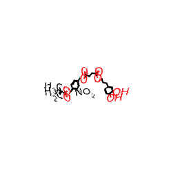 C=C(C)C(=O)OCc1ccc(COC(=O)CCC(=O)OCCCc2ccc(O)c(O)c2)cc1[N+](=O)[O-]